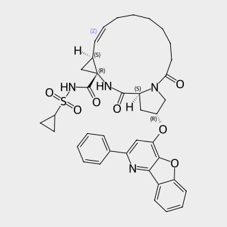 O=C1N[C@]2(C(=O)NS(=O)(=O)C3CC3)C[C@H]2/C=C\CCCCCCC(=O)N2C[C@H](Oc3cc(-c4ccccc4)nc4c3oc3ccccc34)C[C@@H]12